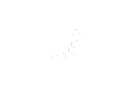 N/C(=N\N=C\c1csc2ccccc12)NCc1ccc(F)cc1